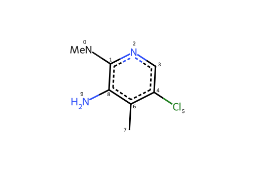 CNc1ncc(Cl)c(C)c1N